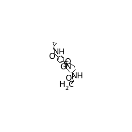 C=CC(=O)NC1CCCN(S(=O)(=O)c2ccc(C(=O)NCC3CC3)cc2)CC1